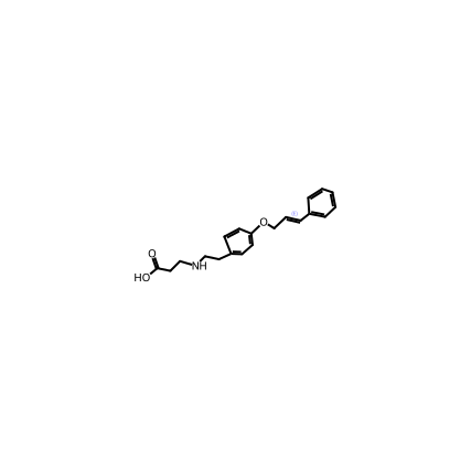 O=C(O)CCNCCc1ccc(OC/C=C/c2ccccc2)cc1